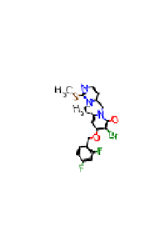 CSc1nccc(Cn2c(C)cc(OCc3ccc(F)cc3F)c(Br)c2=O)n1